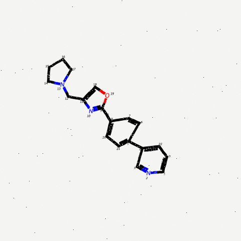 c1cncc(-c2ccc(-c3nc(CN4CCCC4)co3)cc2)c1